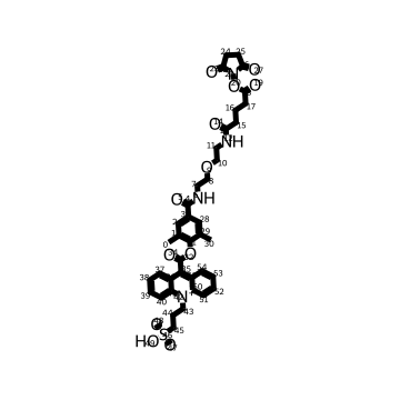 Cc1cc(C(=O)NCCOCCNC(=O)CCCC(=O)ON2C(=O)CCC2=O)cc(C)c1OC(=O)c1c2ccccc2[n+](CCCS(=O)(=O)O)c2ccccc12